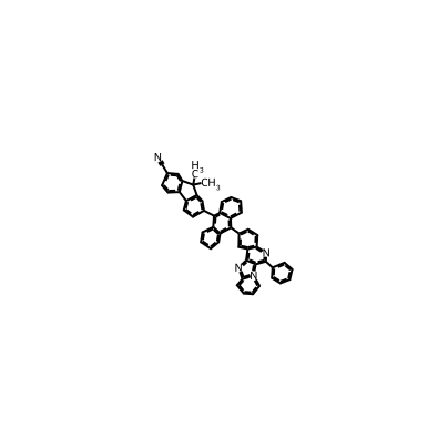 CC1(C)c2cc(C#N)ccc2-c2ccc(-c3c4ccccc4c(-c4ccc5nc(-c6ccccc6)c6c(nc7ccccn76)c5c4)c4ccccc34)cc21